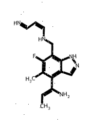 C/C=C(\N)c1c(C)c(F)c(CN/C=C\C=N)c2[nH]ncc12